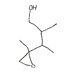 CC(CO)C(C)C1(C)CO1